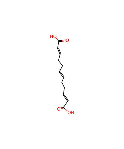 O=C(O)C=CCCC=CCCC=CC(=O)O